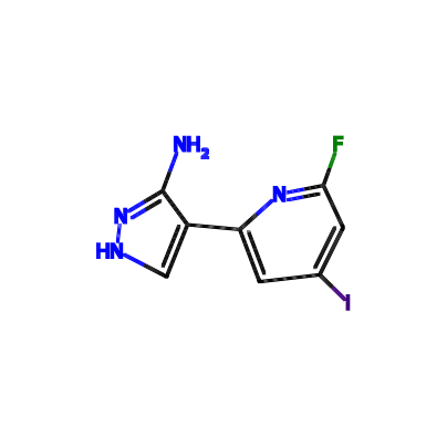 Nc1n[nH]cc1-c1cc(I)cc(F)n1